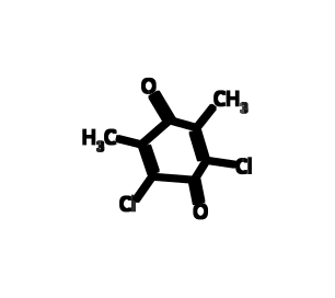 CC1=C(Cl)C(=O)C(Cl)=C(C)C1=O